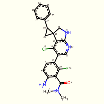 CN(C)C(=O)c1c(N)ccc(-c2cnc3c(c2Cl)C2(CN3)CC2c2ccccc2)c1F